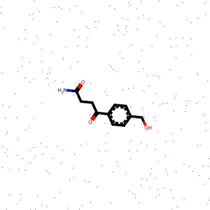 NC(=O)CCC(=O)c1ccc(CO)cc1